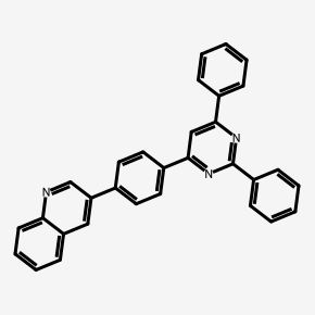 c1ccc(-c2cc(-c3ccc(-c4cnc5ccccc5c4)cc3)nc(-c3ccccc3)n2)cc1